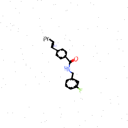 CC(C)/C=C/c1ccc(C(=O)NCc2cccc(F)c2)cc1